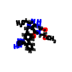 CCc1nc2[nH]c(=O)n(CCOC)c(=O)c2n1Cc1ccc(-c2ccccc2-c2nnn[nH]2)cc1